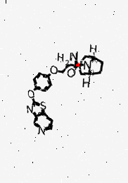 NC(=O)N1[C@@H]2CC[C@H]1CN(CCOc1ccc(Oc3nc4cnccc4s3)cc1)C2